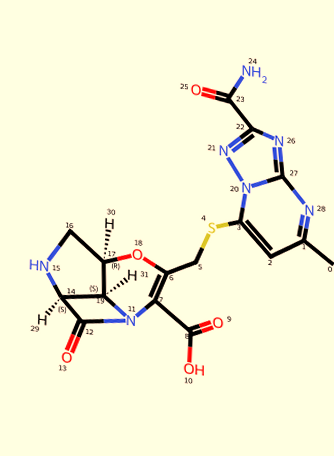 Cc1cc(SCC2=C(C(=O)O)N3C(=O)[C@H]4NC[C@@H](O2)[C@H]43)n2nc(C(N)=O)nc2n1